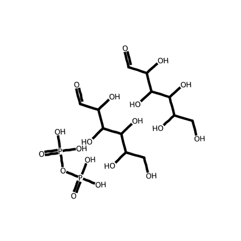 O=CC(O)C(O)C(O)C(O)CO.O=CC(O)C(O)C(O)C(O)CO.O=P(O)(O)OP(=O)(O)O